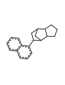 c1ccc2c([C]3CC4CC3C3CCCC43)cccc2c1